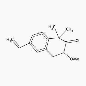 C=Cc1ccc2c(c1)CC(OC)C(=O)C2(C)C